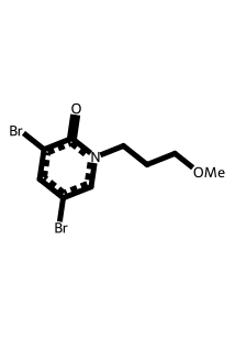 COCCCn1cc(Br)cc(Br)c1=O